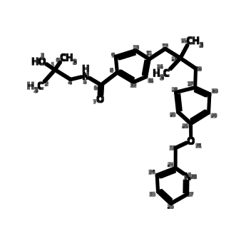 CC(C)(O)CNC(=O)c1ccc(CC(C)(C)Cc2ccc(OCc3ccccn3)cc2)cc1